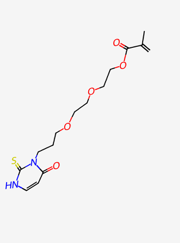 C=C(C)C(=O)OCCOCCOCCCn1c(=O)cc[nH]c1=S